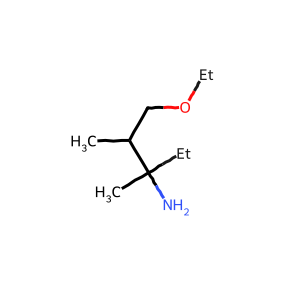 CCOCC(C)C(C)(N)CC